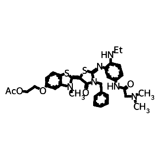 CCNc1ccc(NC(=O)CN(C)C)cc1N=C1S/C(=C2\Sc3ccc(OCCOC(C)=O)cc3N2C)C(=O)N1Cc1ccccc1